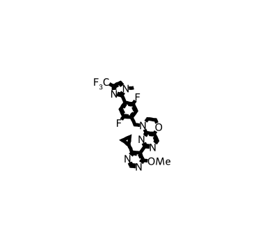 COc1ncnc(C2CC2)c1-c1ncc2c(n1)N(Cc1cc(F)c(-c3nc(C(F)(F)F)cn3C)cc1F)CCO2